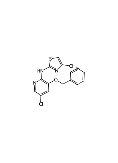 Cc1csc(Nc2ncc(Cl)cc2OCc2ccccc2)n1